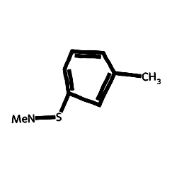 CNSc1cccc(C)c1